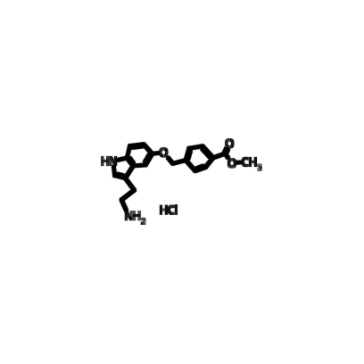 COC(=O)c1ccc(COc2ccc3[nH]cc(CCN)c3c2)cc1.Cl